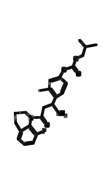 Cc1cc(OC(=O)OCC(C)C)ccc1C(N)CC(=O)N1CCCc2cccc(F)c21